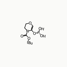 CC(C)(C)OC(=O)N1CCOC=C1OP(O)O